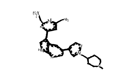 CCCCc1cc(-c2c[nH]c3ncc(-c4cnn(C5CCN(C)CC5)c4)cc23)nc(N)n1